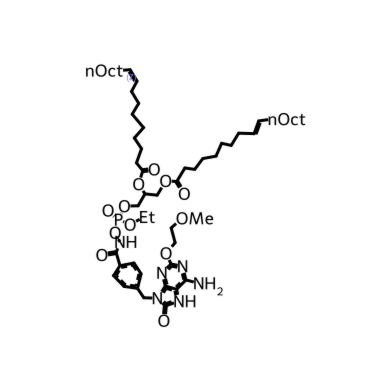 CCCCCCCCC=CCCCCCCCC(=O)OCC(COP(=O)(OCC)ONC(=O)c1ccc(Cn2c(=O)[nH]c3c(N)nc(OCCOC)nc32)cc1)OC(=O)CCCCCCC/C=C\CCCCCCCC